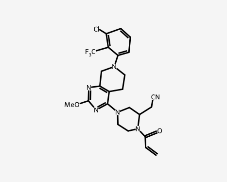 C=CC(=O)N1CCN(c2nc(OC)nc3c2CCN(c2cccc(Cl)c2C(F)(F)F)C3)CC1CC#N